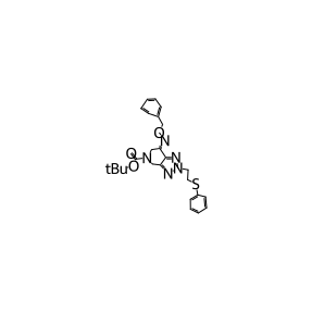 CC(C)(C)OC(=O)N1CC(=NOCc2ccccc2)c2nn(CCSc3ccccc3)nc2C1